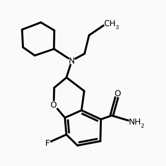 CCCN(C1CCCCC1)C1COc2c(F)ccc(C(N)=O)c2C1